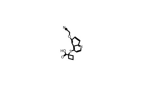 N#CCOc1ccc2nccc(SC3(C(=O)O)CCC3)c2c1